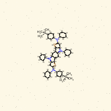 C[Si](C)(C)c1ccc(N(c2ccccc2)c2cc3c(s2)c2cc4c(cc2n3-c2ccccc2)c2sc(N(c3ccccc3)c3ccc([Si](C)(C)C)cc3)cc2n4-c2ccccc2)cc1